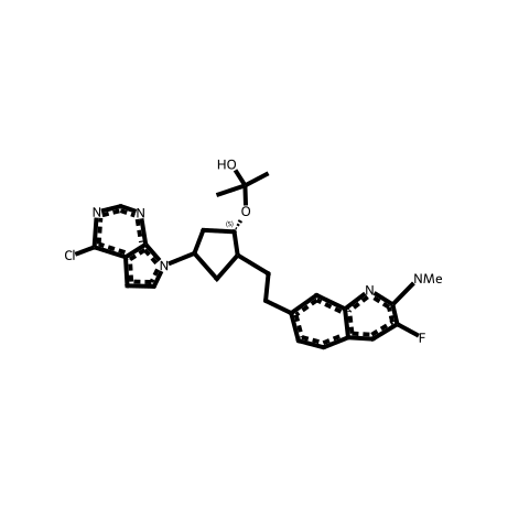 CNc1nc2cc(CCC3CC(n4ccc5c(Cl)ncnc54)C[C@@H]3OC(C)(C)O)ccc2cc1F